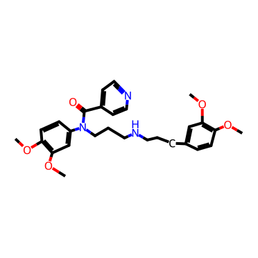 COc1ccc(CCCNCCCN(C(=O)c2ccncc2)c2ccc(OC)c(OC)c2)cc1OC